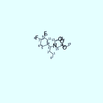 CCCC(c1ccc(F)c(F)c1)N(C=O)CC(=O)OC